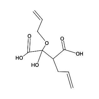 C=CCOC(O)(C(=O)O)C(CC=C)C(=O)O